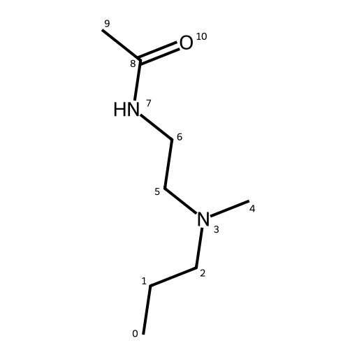 CCCN(C)CCNC(C)=O